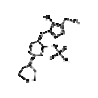 CCn1ncc(/N=C2/C=CC(=[N+]3CCOCC3)C=C2NS(C)(=O)=O)c1N